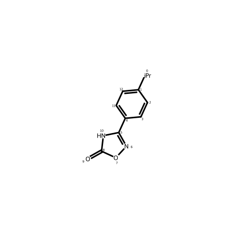 CC(C)c1ccc(-c2noc(=O)[nH]2)cc1